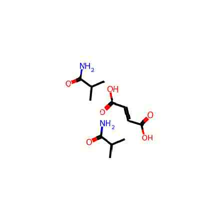 CC(C)C(N)=O.CC(C)C(N)=O.O=C(O)/C=C/C(=O)O